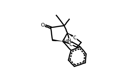 CC1(C)C(=O)C[C@]23CCCC[C@]12Nc1ccccc13